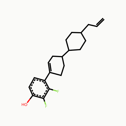 C=CCC1CCC(C2CC=C(c3ccc(O)c(F)c3F)CC2)CC1